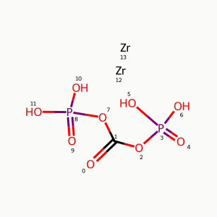 O=C(OP(=O)(O)O)OP(=O)(O)O.[Zr].[Zr]